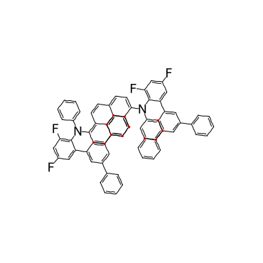 Fc1cc(F)c(N(c2ccccc2)c2ccc3ccc4c(N(c5ccccc5)c5c(F)cc(F)cc5-c5cc(-c6ccccc6)cc(-c6ccccc6)c5)ccc5ccc2c3c54)c(-c2cc(-c3ccccc3)cc(-c3ccccc3)c2)c1